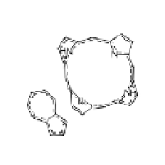 C1=Cc2cc3ccc(cc4nc(cc5ccc(cc1n2)[nH]5)C=C4)[nH]3.c1ccc2cccc-2cc1